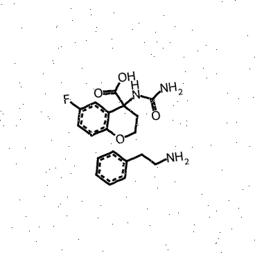 NC(=O)NC1(C(=O)O)CCOc2ccc(F)cc21.NCCc1ccccc1